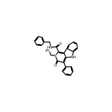 CC(C)Cn1c(C(=O)NCc2ccccc2)c2c([nH]c3ccccc32)c(-c2ccccc2)c1=O